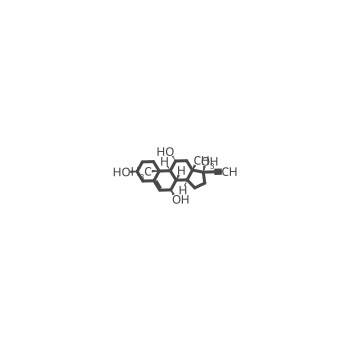 C#C[C@]1(O)CC[C@H]2[C@H]3[C@H]([C@H](O)C[C@@]21C)[C@@]1(C)CC[C@H](O)CC1=C[C@@H]3O